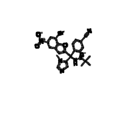 Cn1cncc1C(N[S+]([O-])C(C)(C)C)(c1ccc(C#N)cc1)c1cc2cc([N+](=O)[O-])cc(Br)c2o1